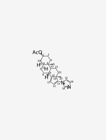 CC(=O)O[C@H]1CC[C@@]2(C)[C@@H](CC[C@H]3C4=CC=C(n5ccnc5)[C@@]4(C)CC[C@@H]32)C1